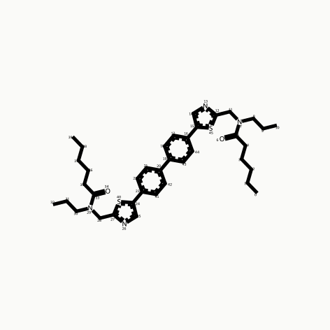 CCCCCC(=O)N(CCC)Cc1ncc(-c2ccc(-c3ccc(-c4cnc(CN(CCC)C(=O)CCCCC)s4)cc3)cc2)s1